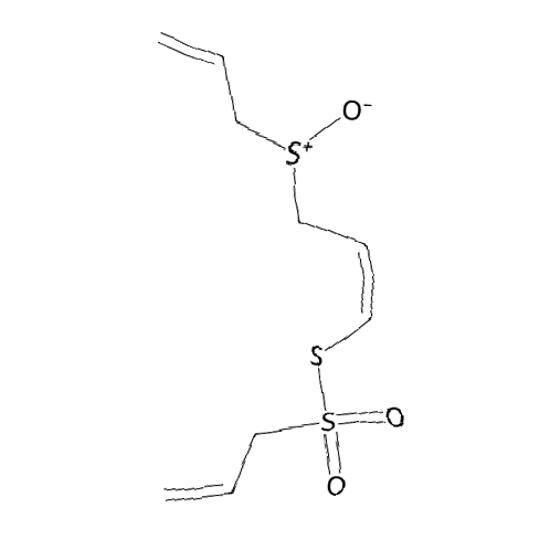 C=CC[S+]([O-])C/C=C\SS(=O)(=O)CC=C